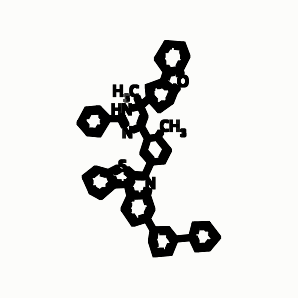 CC1C=CC(c2nc3cc(-c4cccc(-c5ccccc5)c4)ccc3c3c2sc2ccccc23)=CC1C1=CC(C)(c2ccc3oc4ccccc4c3c2)NC(c2ccccc2)=N1